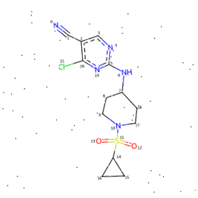 N#Cc1cnc(NC2CCN(S(=O)(=O)C3CC3)CC2)nc1Cl